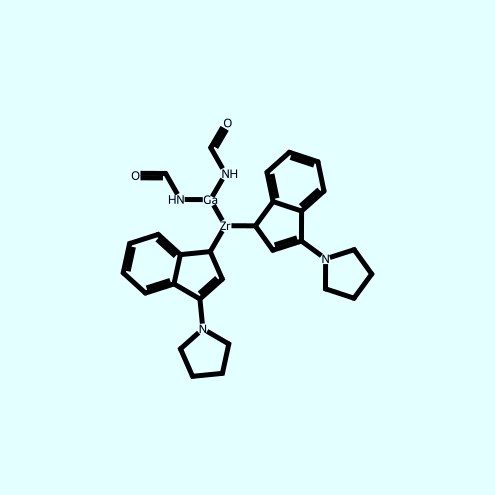 O=C[NH][Ga]([NH]C=O)[Zr]([CH]1C=C(N2CCCC2)c2ccccc21)[CH]1C=C(N2CCCC2)c2ccccc21